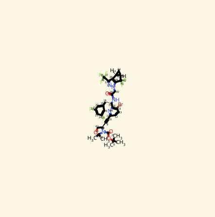 CC(C)(C)OC(=O)N1[C@H](C#Cc2ccc(Br)c([C@H](Cc3cc(F)cc(F)c3)NC(=O)Cn3nc(C(F)(F)F)c4c3C(F)(F)[C@@H]3C[C@H]43)n2)COC1(C)C